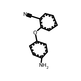 N#Cc1ccccc1Oc1ccc(N)cc1